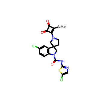 CNc1c(N2CCC3(C2)CN(C(=O)Nc2ncc(Cl)s2)c2ccc(Cl)cc23)c(=O)c1=O